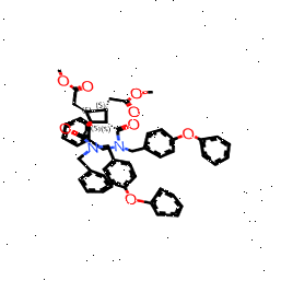 COC(=O)C[C@H]1[C@H](CC(=O)OC)[C@H](C(=O)N(Cc2ccccc2)Cc2ccc(Oc3ccccc3)cc2)[C@H]1C(=O)N(Cc1ccccc1)Cc1ccc(Oc2ccccc2)cc1